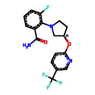 NC(=O)c1cccc(F)c1N1CC[C@@H](Oc2ccc(C(F)(F)F)cn2)C1